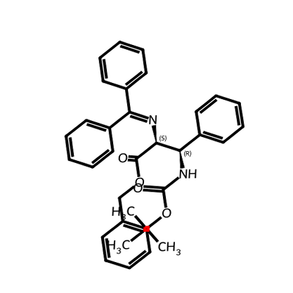 CC(C)(C)OC(=O)N[C@H](c1ccccc1)[C@H](N=C(c1ccccc1)c1ccccc1)C(=O)OCc1ccccc1